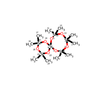 C[Si]1(C)O[Si](C)(C)O[Si]2(O[Si](C)(C)O1)O[Si](C)(C)O[Si](C)(C)O2